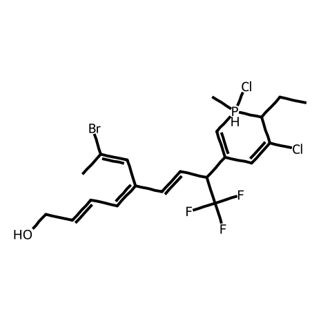 CCC1C(Cl)=CC(C(/C=C/C(=C/C=C/CO)/C=C(\C)Br)C(F)(F)F)=C[PH]1(C)Cl